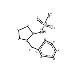 CCS(=O)(=O)NC1CCCC1Cc1ccccc1